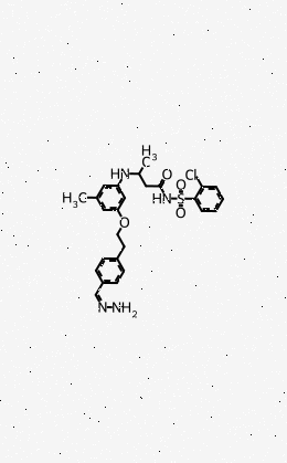 Cc1cc(NC(C)CC(=O)NS(=O)(=O)c2ccccc2Cl)cc(OCCc2ccc(/C=N\N)cc2)c1